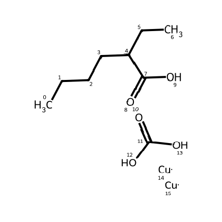 CCCCC(CC)C(=O)O.O=C(O)O.[Cu].[Cu]